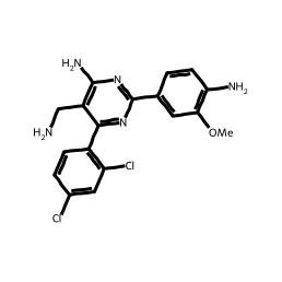 COc1cc(-c2nc(N)c(CN)c(-c3ccc(Cl)cc3Cl)n2)ccc1N